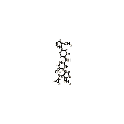 Cc1ccnn1[C@H]1CC[C@H](Nc2ncc(Cl)c(-c3cnn(C)c3CC3CC3)n2)CC1